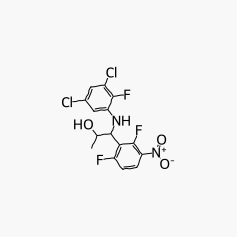 CC(O)C(Nc1cc(Cl)cc(Cl)c1F)c1c(F)ccc([N+](=O)[O-])c1F